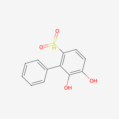 O=[SH](=O)c1ccc(O)c(O)c1-c1ccccc1